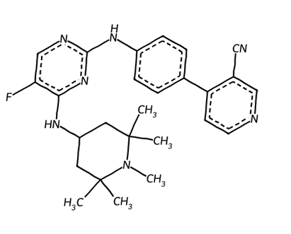 CN1C(C)(C)CC(Nc2nc(Nc3ccc(-c4ccncc4C#N)cc3)ncc2F)CC1(C)C